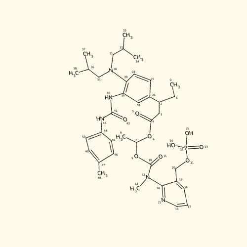 CCC(CC(=O)OC(C)OC(=O)N(C)c1ncccc1COP(=O)(O)O)c1ccc(N(CC(C)C)CC(C)C)c(NC(=O)Nc2ccc(C)cc2)c1